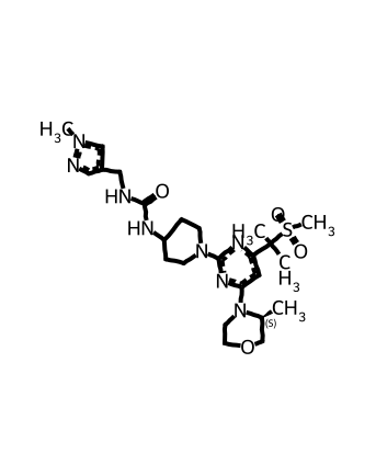 C[C@H]1COCCN1c1cc(C(C)(C)S(C)(=O)=O)nc(N2CCC(NC(=O)NCc3cnn(C)c3)CC2)n1